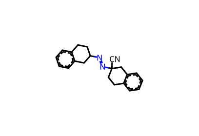 N#CC1(N=NC2CCc3ccccc3C2)CCc2ccccc2C1